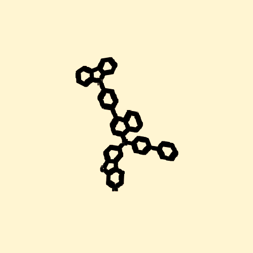 c1ccc(-c2ccc(N(c3ccc4oc5cnccc5c4c3)c3ccc(-c4ccc(-n5c6ccccc6c6ccccc65)cc4)c4ccccc34)cc2)cc1